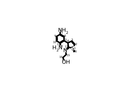 C=S1C=CC(c2cc(N)ccc2N)C1=NCCO